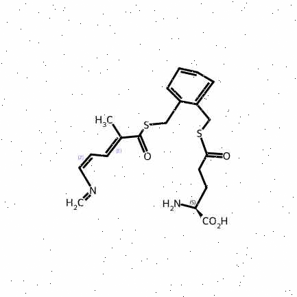 C=N/C=C\C=C(/C)C(=O)SCc1ccccc1CSC(=O)CC[C@H](N)C(=O)O